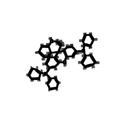 c1ccc(N(c2ccccc2)c2ccc3c(c2)Oc2cc(N(c4ccccc4)c4ccccc4)ccc2C32c3ccccc3Oc3ccccc32)cc1